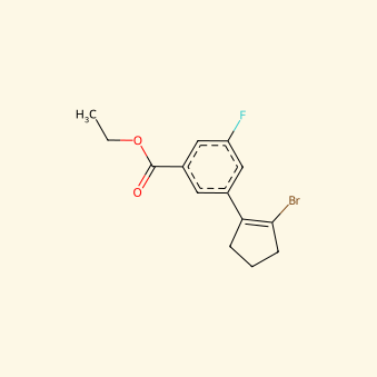 CCOC(=O)c1cc(F)cc(C2=C(Br)CCC2)c1